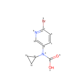 O=C(O)N(c1ccc(Br)nc1)C1CC1